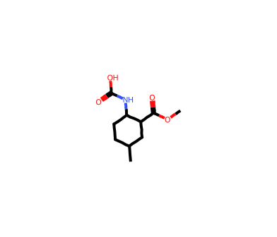 COC(=O)C1CC(C)CCC1NC(=O)O